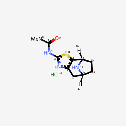 CNC(=O)Nc1nc2c(s1)[C@@H]1CC[C@H](C2)N1.Cl